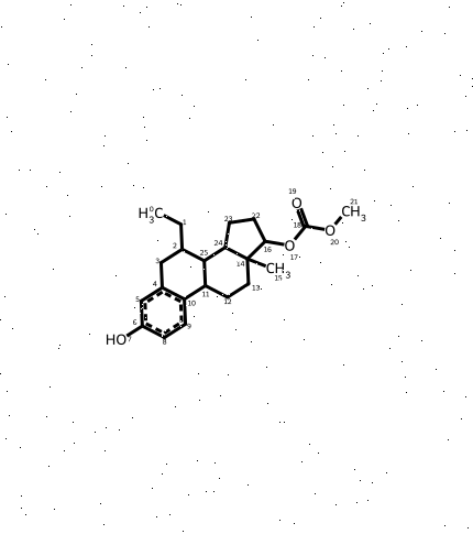 CCC1Cc2cc(O)ccc2C2CCC3(C)C(OC(=O)OC)CCC3C12